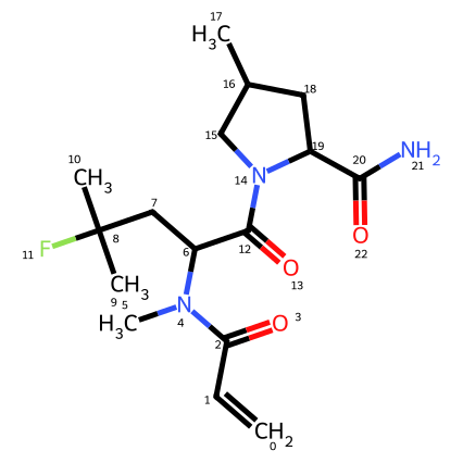 C=CC(=O)N(C)C(CC(C)(C)F)C(=O)N1CC(C)CC1C(N)=O